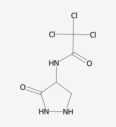 O=C1NNCC1NC(=O)C(Cl)(Cl)Cl